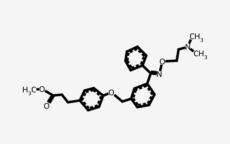 COC(=O)CCc1ccc(OCc2cccc(/C(=N/OCCN(C)C)c3ccccc3)c2)cc1